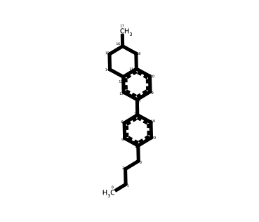 CCCCc1ccc(-c2ccc3c(c2)CCC(C)C3)cc1